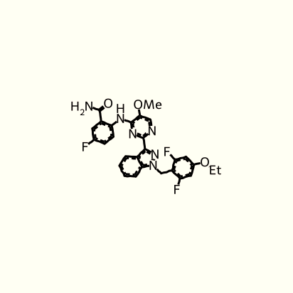 CCOc1cc(F)c(Cn2nc(-c3ncc(OC)c(Nc4ccc(F)cc4C(N)=O)n3)c3ccccc32)c(F)c1